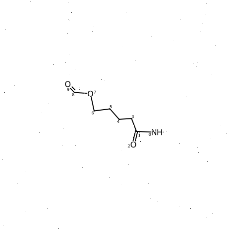 [NH]C(=O)CCCCOC=O